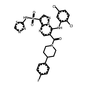 O=C(c1cnc2c(S(=O)(=O)Nc3nncs3)cnn2c1Nc1cc(Cl)ccc1Cl)N1CCC(c2ccc(F)cc2)CC1